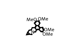 COc1cc2c3c(c4cc(OC)c(OC)cc4c2cc1OC)CN1CC2CC2CC1C3